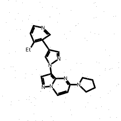 CCc1ccncc1-c1cnn(-c2cnn3ccc(N4CCCC4)nc23)c1